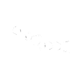 COC(=Cc1ccc2oc(Cc3nc(-c4ccccc4)oc3C)cc2c1)C(N)=O